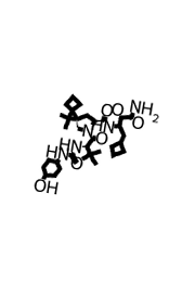 CC(C)(C)[C@H](NC(=O)NC1CCC(O)CC1)C(=O)N1C[C@]2(C[C@H]1C(=O)NC(CC1CCC1)C(=O)C(N)=O)C(C)(C)C21CCC1